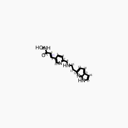 O=C(/C=C/c1ccc(CNCCc2ccc3cc[nH]c3n2)nc1)NO